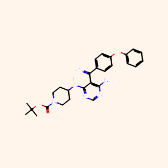 CC(C)(C)OC(=O)N1CCC(Nc2ncnc(N)c2C(=N)c2ccc(Oc3ccccc3)cc2)CC1